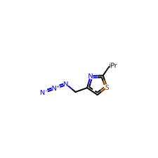 CC(C)c1nc(CN=[N+]=[N-])cs1